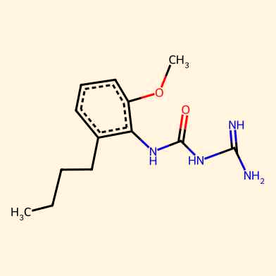 CCCCc1cccc(OC)c1NC(=O)NC(=N)N